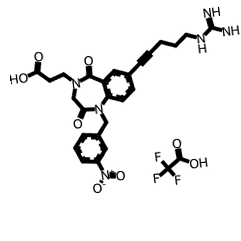 N=C(N)NCCCC#Cc1ccc2c(c1)C(=O)N(CCC(=O)O)CC(=O)N2Cc1cccc([N+](=O)[O-])c1.O=C(O)C(F)(F)F